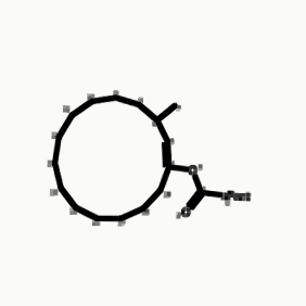 CCCCCC(=O)OC1=CC(C)CCCCCCCCCCCC1